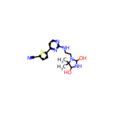 CC1(C)C(O)NC(O)N1CCNc1nccc(-c2ccc(C#N)s2)n1